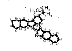 C[Si](C)(C)c1cc2c3cc4ccccc4cc3n3c2c(c1)n1c2cc4ccccc4cc2nc13